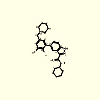 O=C(NC1CCCCC1)c1n[nH]c2ccc(-c3cc(CN4CCCCC4)cc(F)c3F)cc12